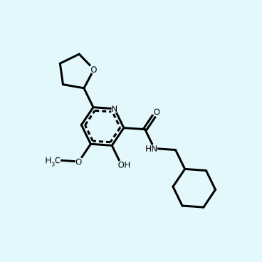 COc1cc(C2CCCO2)nc(C(=O)NCC2CCCCC2)c1O